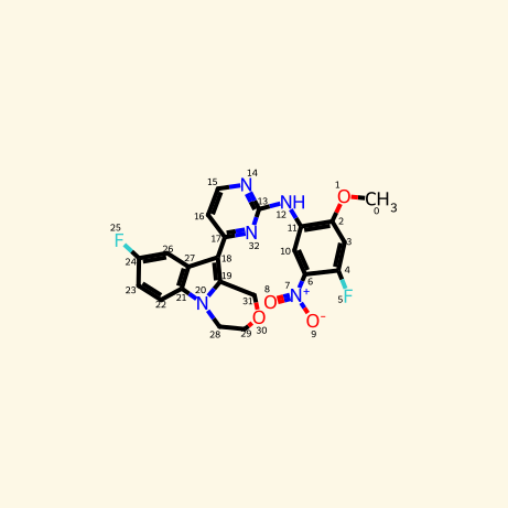 COc1cc(F)c([N+](=O)[O-])cc1Nc1nccc(-c2c3n(c4ccc(F)cc24)CCOC3)n1